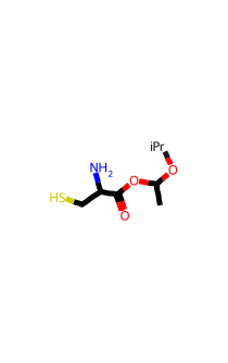 CC(C)OC(C)OC(=O)C(N)CS